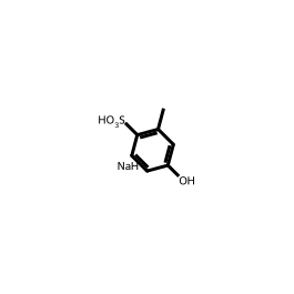 Cc1cc(O)ccc1S(=O)(=O)O.[NaH]